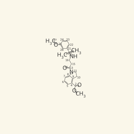 COC(=O)c1cccc2c1CCN2C(=O)CCNC(C)(C)c1cccc(OC)c1